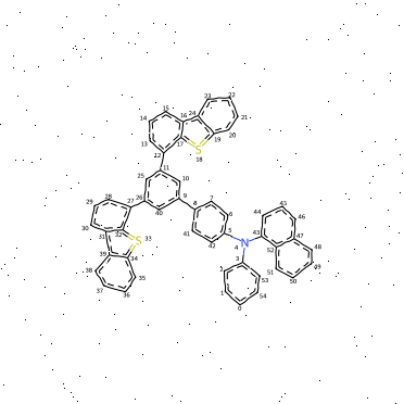 c1ccc(N(c2ccc(-c3cc(-c4cccc5c4sc4ccccc45)cc(-c4cccc5c4sc4ccccc45)c3)cc2)c2cccc3ccccc23)cc1